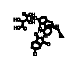 O=C(O)C(O)C(O)C(=O)O.O=C1c2ccc(Cl)cc2C(=O)N1[C@@H]1CCC2(O)[C@H]3Cc4ccc(O)c5c4[C@@]2(CCN3CC2CC2)[C@H]1O5